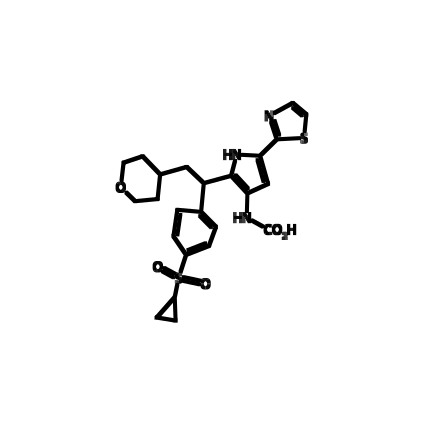 O=C(O)Nc1cc(-c2nccs2)[nH]c1C(CC1CCOCC1)c1ccc(S(=O)(=O)C2CC2)cc1